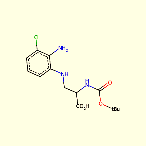 CC(C)(C)OC(=O)NC(CNc1cccc(Cl)c1N)C(=O)O